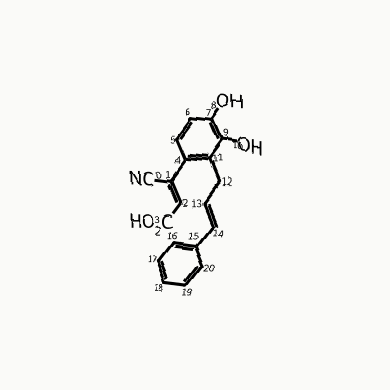 N#CC(=CC(=O)O)c1ccc(O)c(O)c1CC=Cc1ccccc1